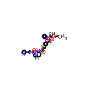 CCCOC(=O)[C@H](C)N[P@@](=O)(Oc1ccccc1)[C@@H](F)c1ccc2sc(C(=O)N[C@H]3CCC[C@H]4CC[C@@H](C(=O)N5CC(c6cccnc6)C5)N4C3=O)cc2c1